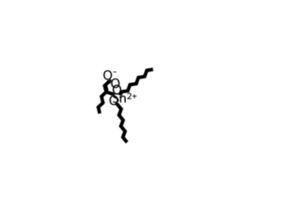 CCCC/C(=C/C(=O)[O-])C(=O)[O-].CCCCCCC[CH2][Sn+2][CH2]CCCCCCC